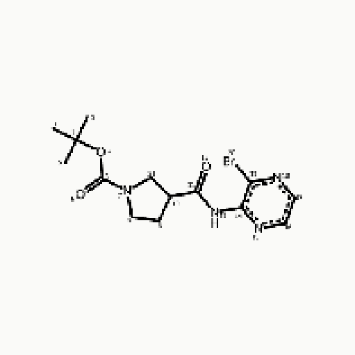 CC(C)(C)OC(=O)N1CCC(C(=O)Nc2nccnc2Br)C1